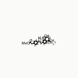 COC(=O)Cc1ccc(NSc2ccc3c(c2)C(C)(C)CCC3(C)C)cc1